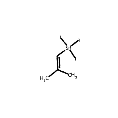 CC(C)=[CH][Sn]([I])([I])[I]